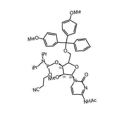 COc1ccc(C(OCC2O[C@@H](n3ccc(NC(C)=O)nc3=O)[C@@H](OC)[C@H]2OP(OCCC#N)N(C(C)C)C(C)C)(c2ccccc2)c2ccc(OC)cc2)cc1